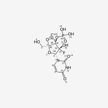 CO[C@]1(CO)O[C@@H](n2ccc(=O)[nH]c2=O)[C@@](O)(F)[C@@H]1OP(=O)(O)O